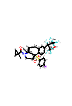 CC1(C(=O)N2CC[C@@]3(S(=O)(=O)c4ccc(I)cc4)c4ccc(C(F)(C(F)(F)F)C(F)(F)F)cc4CC[C@@H]23)CC1